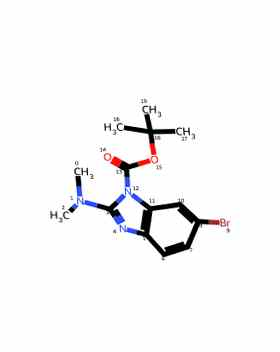 CN(C)c1nc2ccc(Br)cc2n1C(=O)OC(C)(C)C